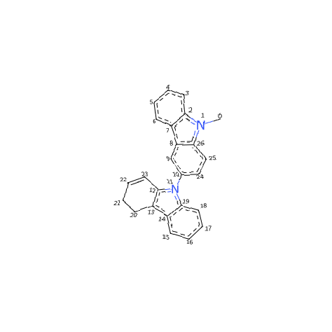 Cn1c2ccccc2c2cc(-n3c4c(c5ccccc53)CCC=C4)ccc21